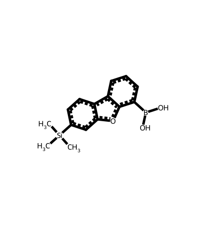 C[Si](C)(C)c1ccc2c(c1)oc1c(B(O)O)cccc12